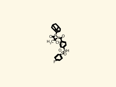 CC1(C)C(=O)N(C2C3CC4CC(C3)CC2C4)N1C(=O)c1ccc(NS(=O)(=O)c2ccc(F)cc2)cc1